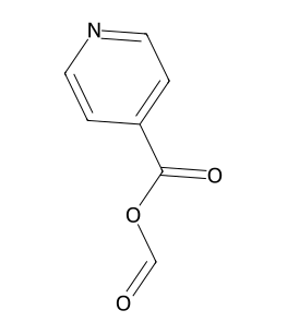 O=COC(=O)c1ccncc1